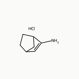 Cl.NC1=CC2CCC1C2